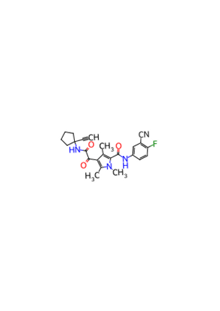 C#CC1(NC(=O)C(=O)c2c(C)c(C(=O)Nc3ccc(F)c(C#N)c3)n(C)c2C)CCCC1